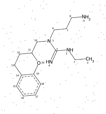 CCNC(=N)N(CCCN)CC1CCc2ccccc2O1